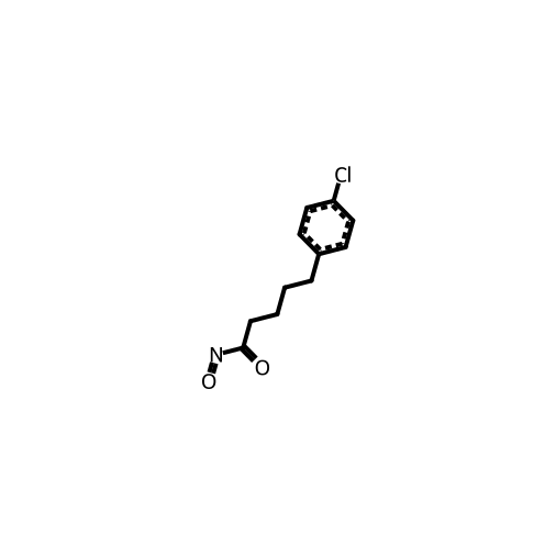 O=NC(=O)CCCCc1ccc(Cl)cc1